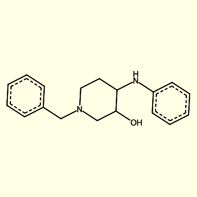 OC1CN(Cc2ccccc2)CCC1Nc1ccccc1